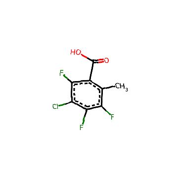 Cc1c(F)c(F)c(Cl)c(F)c1C(=O)O